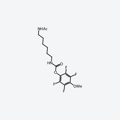 COc1c(F)c(F)c(OC(=O)NCCCCCCNC(C)=O)c(F)c1F